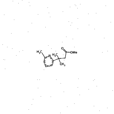 COC(=O)CC(C)(C)c1cccc(C)n1